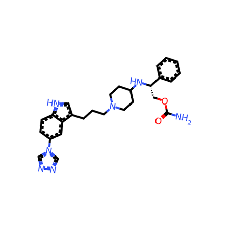 NC(=O)OC[C@H](NC1CCN(CCCc2c[nH]c3ccc(-n4cnnc4)cc23)CC1)c1ccccc1